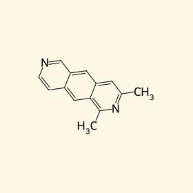 Cc1cc2cc3cnccc3cc2c(C)n1